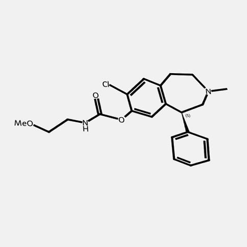 COCCNC(=O)Oc1cc2c(cc1Cl)CCN(C)C[C@H]2c1ccccc1